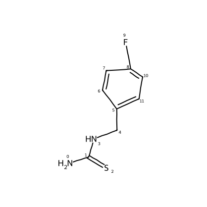 NC(=S)NCc1ccc(F)cc1